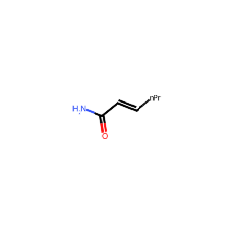 CCCC=CC(N)=O